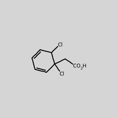 O=C(O)CC1(Cl)C=CC=CC1Cl